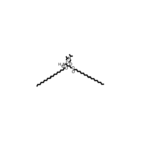 CCCCCCCCC=CCCCCCCCC(=O)OCC(OCCN(C(C)C)C(C)C)C(OC(=O)CCCCCCCC=CCCCCCCCC)C(N)=O